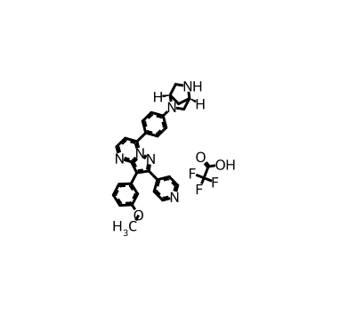 COc1cccc(-c2c(-c3ccncc3)nn3c(-c4ccc(N5C[C@@H]6C[C@H]5CN6)cc4)ccnc23)c1.O=C(O)C(F)(F)F